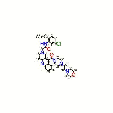 COc1ccc(Cl)cc1NC(=O)CN1CCc2nc3ccccc3c(C(=O)N3CCN(CCN4CCOCC4)CC3)c2C1